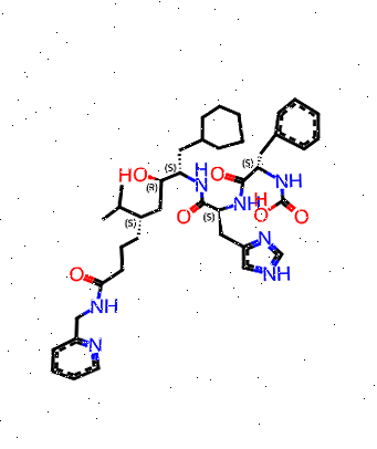 CC(C)[C@@H](CCCC(=O)NCc1ccccn1)C[C@@H](O)[C@H](CC1CCCCC1)NC(=O)[C@H](Cc1c[nH]cn1)NC(=O)[C@H](Cc1ccccc1)NC(=O)O